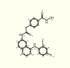 O=C(Cc1ccc(C(=O)NO)cc1)Nc1ccc2ncnc(Nc3ccc(F)cc3F)c2c1